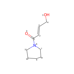 O=C(C=CCO)N1C[CH]CCC1